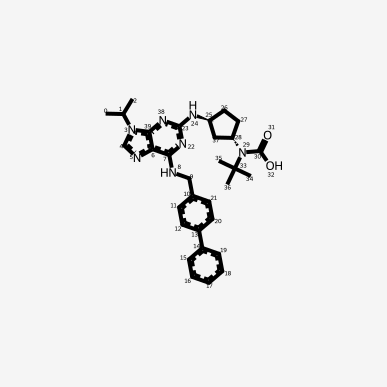 CC(C)n1cnc2c(NCc3ccc(-c4ccccc4)cc3)nc(N[C@H]3CC[C@H](N(C(=O)O)C(C)(C)C)C3)nc21